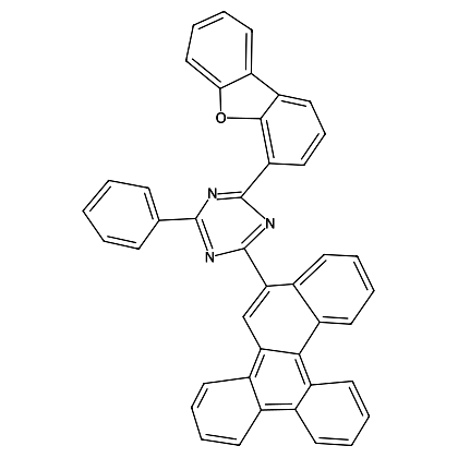 c1ccc(-c2nc(-c3cc4c5ccccc5c5ccccc5c4c4ccccc34)nc(-c3cccc4c3oc3ccccc34)n2)cc1